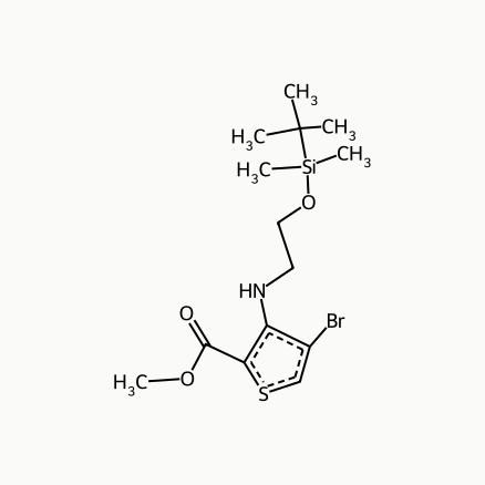 COC(=O)c1scc(Br)c1NCCO[Si](C)(C)C(C)(C)C